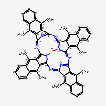 COc1c2c(c(OC)c3ccccc13)/C1=N/c3c4c(OC)c5ccccc5c(OC)c4c4n3On3/c(c5c(OC)c6ccccc6c(OC)c5/c3=N/C3=NC(=N\4)/c4c3c(OC)c3ccccc3c4OC)=N\C2=N1